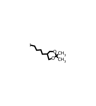 CC1(C)OCC(CCCCI)CO1